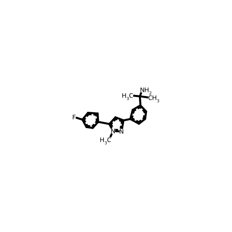 Cn1nc(-c2cccc(C(C)(C)N)c2)cc1-c1ccc(F)cc1